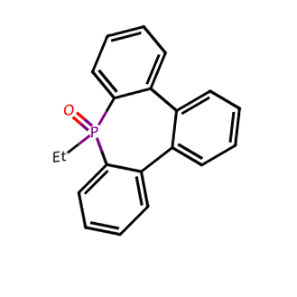 CCP1(=O)c2ccccc2-c2ccccc2-c2ccccc21